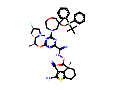 C[C@H](Oc1nc(C(=N)NOC(=O)[C@@]2(C)CCCc3sc(N)c(C#N)c32)nc(N2CCOCC(C)(O[Si](c3ccccc3)(c3ccccc3)C(C)(C)C)C2)n1)[C@@H]1C[C@@H](F)CN1C